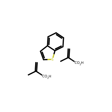 C=C(C)C(=O)O.C=C(C)C(=O)O.c1ccc2sccc2c1